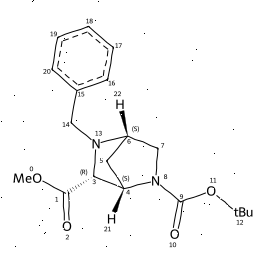 COC(=O)[C@H]1[C@@H]2C[C@@H](CN2C(=O)OC(C)(C)C)N1Cc1ccccc1